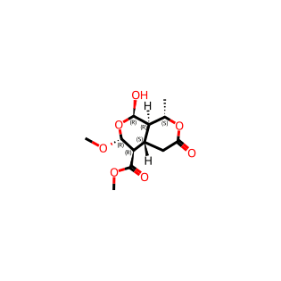 COC(=O)[C@H]1[C@H](OC)O[C@@H](O)[C@@H]2[C@@H]1CC(=O)O[C@H]2C